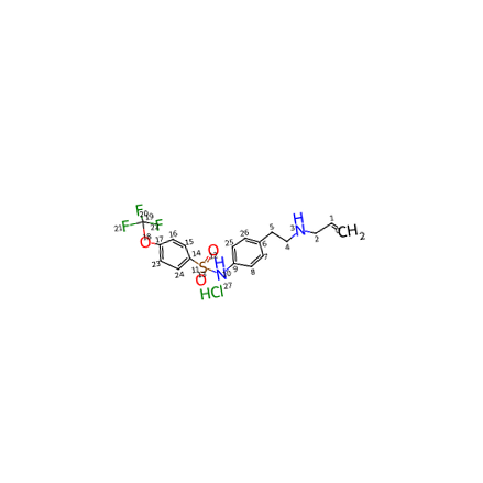 C=CCNCCc1ccc(NS(=O)(=O)c2ccc(OC(F)(F)F)cc2)cc1.Cl